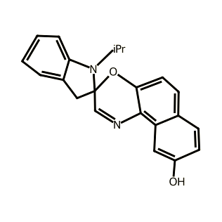 CC(C)N1c2ccccc2CC12C=Nc1c(ccc3ccc(O)cc13)O2